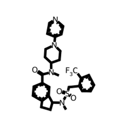 CN(C(=O)c1ccc2c(c1)C(N(C)S(=O)(=O)Cc1ccccc1C(F)(F)F)CC2)C1CCN(c2ccncc2)CC1